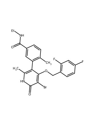 CCNC(=O)c1ccc(C)c(-c2c(C)[nH]c(=O)c(Br)c2OCc2ccc(F)cc2F)c1